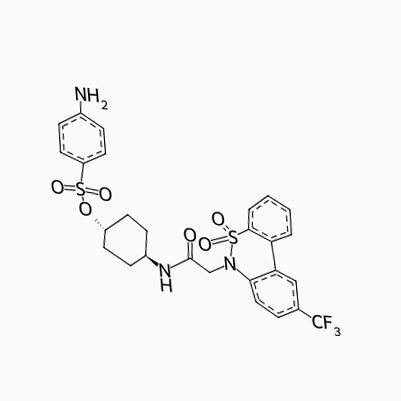 Nc1ccc(S(=O)(=O)O[C@H]2CC[C@H](NC(=O)CN3c4ccc(C(F)(F)F)cc4-c4ccccc4S3(=O)=O)CC2)cc1